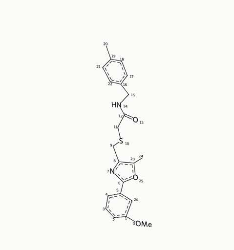 COc1cccc(-c2nc(CSCC(=O)NCc3ccc(C)cc3)c(C)o2)c1